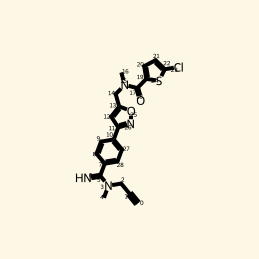 C#CCN(C)C(=N)c1ccc(-c2cc(CN(C)C(=O)c3ccc(Cl)s3)on2)cc1